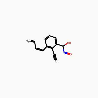 C#Cc1c(/C=C\C=C)cccc1B(O)N=O